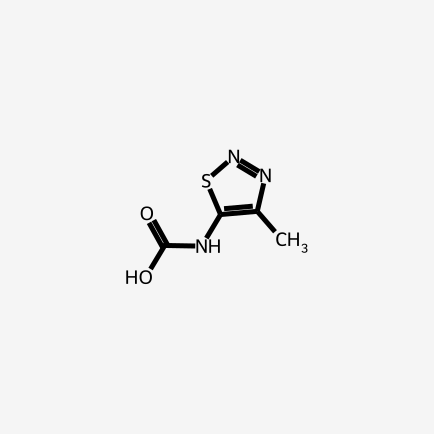 Cc1nnsc1NC(=O)O